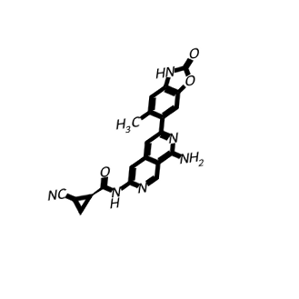 Cc1cc2[nH]c(=O)oc2cc1-c1cc2cc(NC(=O)[C@H]3CC3C#N)ncc2c(N)n1